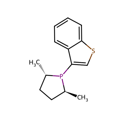 C[C@H]1CC[C@H](C)P1c1csc2ccccc12